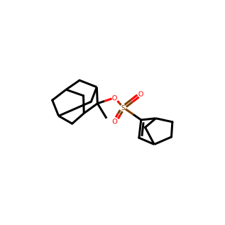 CC1(OS(=O)(=O)C2=CC3CCC2C3)C2CC3CC(C2)CC1C3